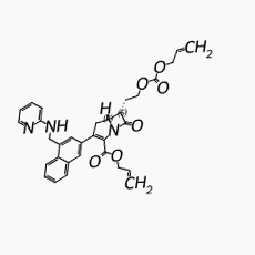 C=CCOC(=O)OCC[C@@H]1C(=O)N2C(C(=O)OCC=C)=C(c3cc(CNc4ccccn4)c4ccccc4c3)C[C@H]12